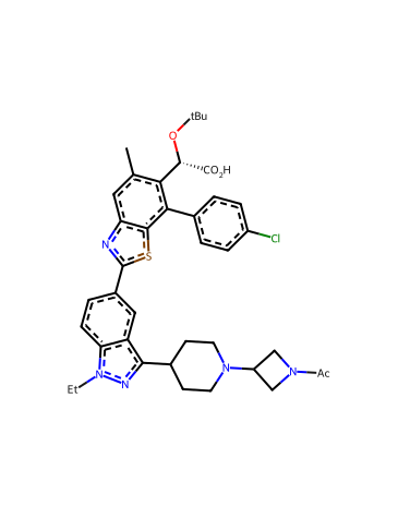 CCn1nc(C2CCN(C3CN(C(C)=O)C3)CC2)c2cc(-c3nc4cc(C)c([C@H](OC(C)(C)C)C(=O)O)c(-c5ccc(Cl)cc5)c4s3)ccc21